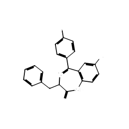 O=C1Nc2ccc(Br)cc2C(c2ccc(O)cc2)=NC1Cc1ccccc1